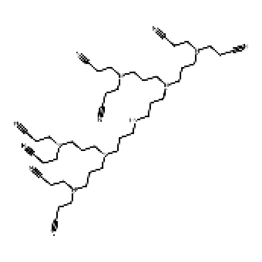 N#CCCN(CCC#N)CCCN(CCCNCCCN(CCCN(CCC#N)CCC#N)CCCN(CCC#N)CCC#N)CCCN(CCC#N)CCC#N